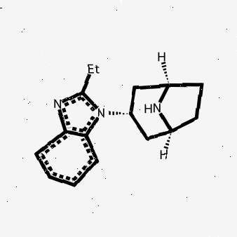 CCc1nc2ccccc2n1[C@@H]1C[C@H]2CC[C@@H](C1)N2